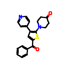 O=C1CCN(c2sc(C(=O)c3ccccc3)cc2-c2ccncc2)CC1